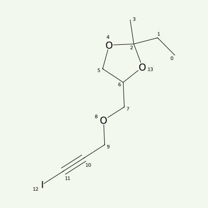 CCC1(C)OCC(COCC#CI)O1